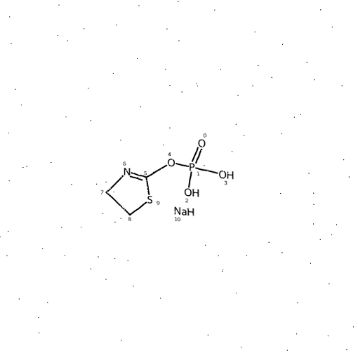 O=P(O)(O)OC1=NCCS1.[NaH]